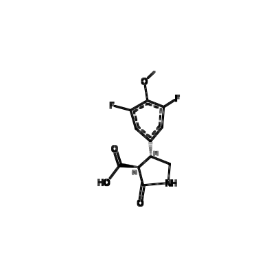 COc1c(F)cc([C@@H]2CNC(=O)[C@H]2C(=O)O)cc1F